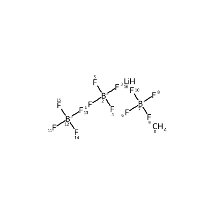 C.F[B-](F)(F)F.F[B-](F)(F)F.F[B-](F)(F)F.[LiH]